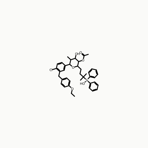 CCOc1ccc(Cc2cc(C3OC(CCC(C)(C)[Si](O)(c4ccccc4)c4ccccc4)C(OC(C)=O)C(O)C3C)ccc2Cl)cc1